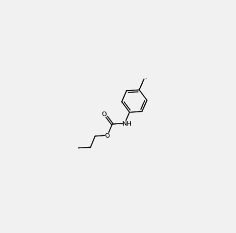 [CH2]c1ccc(NC(=O)OCCC)cc1